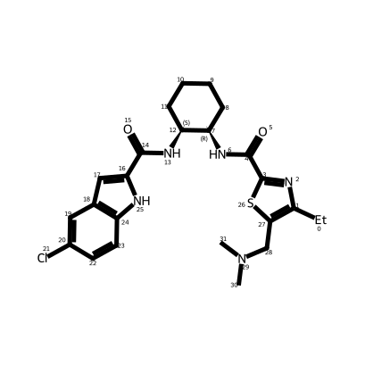 CCc1nc(C(=O)N[C@@H]2CCCC[C@@H]2NC(=O)c2cc3cc(Cl)ccc3[nH]2)sc1CN(C)C